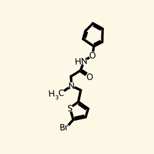 CN(CC(=O)NOc1ccccc1)Cc1ccc(Br)s1